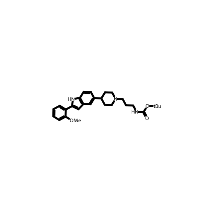 COc1ccccc1-c1cc2cc(C3CCN(CCCNC(=O)OC(C)(C)C)CC3)ccc2[nH]1